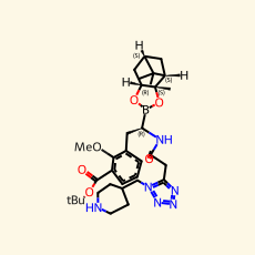 COc1c(C[C@H](NC(=O)Cc2nnnn2CC2CCNCC2)B2O[C@@H]3C[C@@H]4C[C@@H](C4(C)C)[C@]3(C)O2)cccc1C(=O)OC(C)(C)C